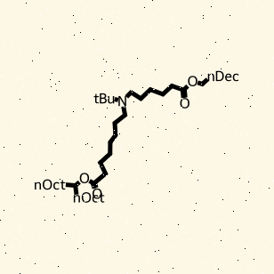 CCCCCCCCCCCOC(=O)CCCCCN(CCCCCCCC(=O)OC(CCCCCCCC)CCCCCCCC)C(C)(C)C